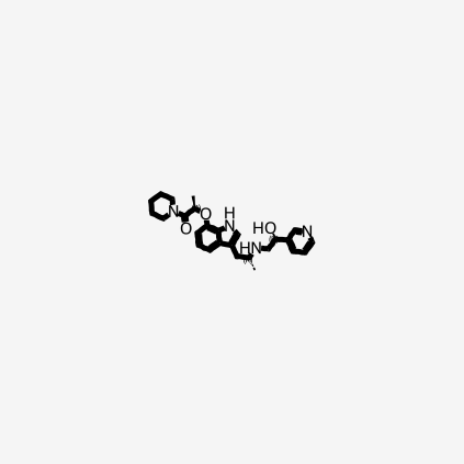 C[C@H](Cc1c[nH]c2c(O[C@H](C)C(=O)N3CCCCC3)cccc12)NC[C@H](O)c1cccnc1